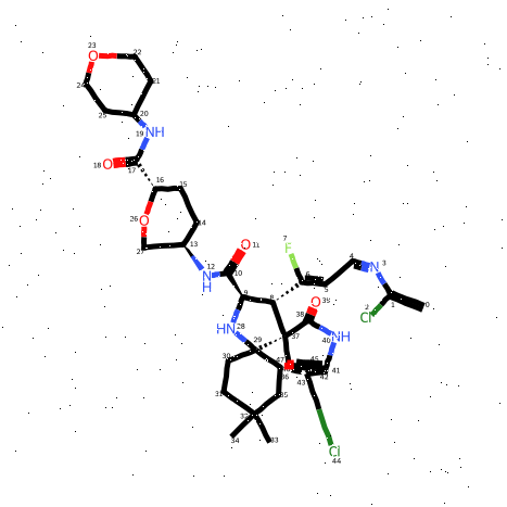 C=C(Cl)/N=C\C=C(/F)[C@H]1[C@H](C(=O)N[C@@H]2CC[C@@H](C(=O)NC3CCOCC3)OC2)NC2(CCC(C)(C)CC2)[C@@]12C(=O)Nc1cc(Cl)ccc12